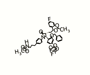 CC(=O)OC(CC[C@H]1C(=O)N(c2ccc(CCCNS(C)(=O)=O)cc2)[C@@H]1c1ccc(OS(=O)(=O)C(F)(F)F)cc1OCc1ccccc1)c1ccc(F)cc1